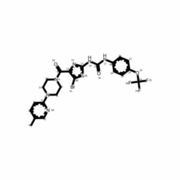 Cc1ccc(N2CCN(C(=O)c3nc(NC(=O)Nc4ccc(OC(F)(F)F)cc4)sc3Br)CC2)nc1